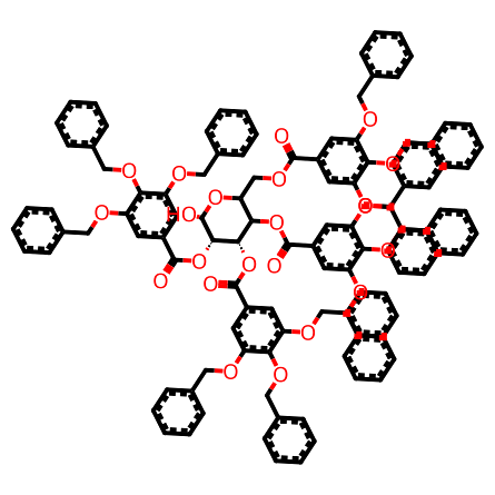 O=C(OCC1OC(O)[C@@H](OC(=O)c2cc(OCc3ccccc3)c(OCc3ccccc3)c(OCc3ccccc3)c2)[C@@H](OC(=O)c2cc(OCc3ccccc3)c(OCc3ccccc3)c(OCc3ccccc3)c2)C1OC(=O)c1cc(OCc2ccccc2)c(OCc2ccccc2)c(OCc2ccccc2)c1)c1cc(OCc2ccccc2)c(OCc2ccccc2)c(OCc2ccccc2)c1